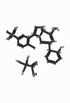 Cc1ccc(S(C)(=O)=O)cc1-c1cnc2c(N)nc(-c3ccccc3F)cn12.O=C(O)C(F)(F)F